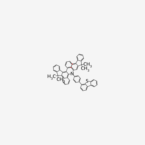 CC1(C)c2ccccc2-c2ccc(N(c3ccc(-c4cccc5c4sc4ccccc45)cc3)c3c(-c4ccccc4)c4c(c5ccccc35)C(C)(C)c3ccccc3-4)cc21